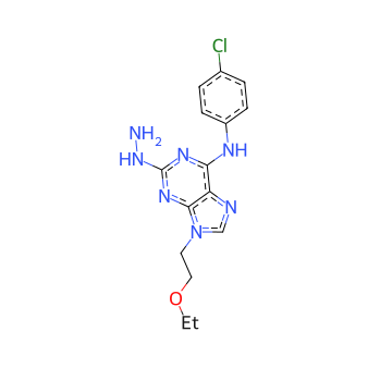 CCOCCn1cnc2c(Nc3ccc(Cl)cc3)nc(NN)nc21